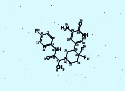 CC(C(=O)Nc1ccc(F)cn1)N1CCC(F)(F)C(c2c[nH]c(=O)c(N)c2)C1